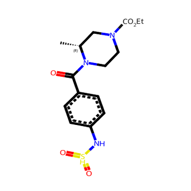 CCOC(=O)N1CCN(C(=O)c2ccc(N[SH](=O)=O)cc2)[C@H](C)C1